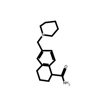 NC(=O)C1[C]CCc2cc(CN3CCCCC3)ccc21